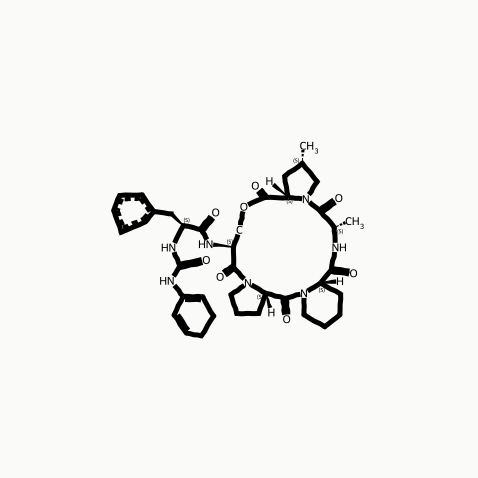 C[C@H]1C[C@H]2C(=O)OC[C@H](NC(=O)[C@H](Cc3ccccc3)NC(=O)NC3=CCCC=C3)C(=O)N3CCC[C@H]3C(=O)N3CCCC[C@H]3C(=O)N[C@@H](C)C(=O)N2C1